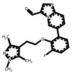 Cc1nn(C)c(C)c1CCOc1c(F)cccc1-c1ccc2ncc(C=O)n2c1